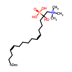 CCCCCCCCCCCC/C=C\CCCC/C=C\CCCC(O)(C[N+](C)(C)C)P(=O)(O)O